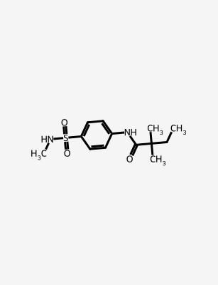 CCC(C)(C)C(=O)Nc1ccc(S(=O)(=O)NC)cc1